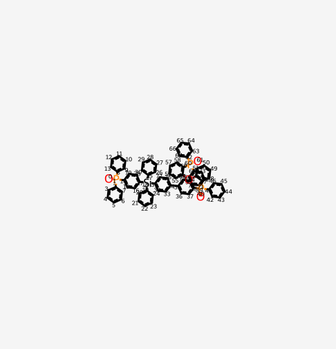 O=P(c1ccccc1)(c1ccccc1)c1ccc([Si](c2ccccc2)(c2ccccc2)c2ccc(-c3ccc(P(=O)(c4ccccc4)c4ccccc4Oc4ccccc4P(=O)(c4ccccc4)c4ccccc4)cc3)cc2)cc1